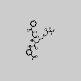 CC(=O)c1cccc(NC(=O)[C@H](CCCSCC(=O)C(F)(F)F)NC(=O)CNC(=O)c2ccccc2)c1